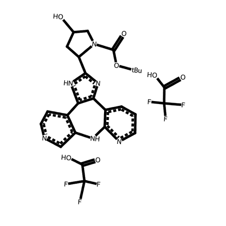 CC(C)(C)OC(=O)N1CC(O)CC1c1nc2c([nH]1)-c1ccncc1Nc1ncccc1-2.O=C(O)C(F)(F)F.O=C(O)C(F)(F)F